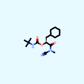 CN(C#N)C(=O)[C@H](CC1CCCCC1)OC(=O)NC(C)(C)C